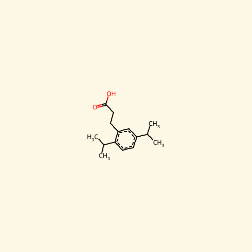 CC(C)c1ccc(C(C)C)c(CCC(=O)O)c1